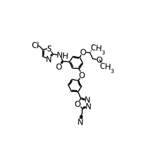 COC[C@@H](C)Oc1cc(Oc2cccc(-c3nnc(C#N)o3)c2)cc(C(=O)Nc2ncc(Cl)s2)c1